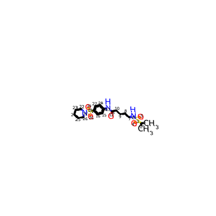 CC(C)S(=O)(=O)NCCCCC(=O)Nc1ccc(S(=O)(=O)N2CCCCC2)cc1